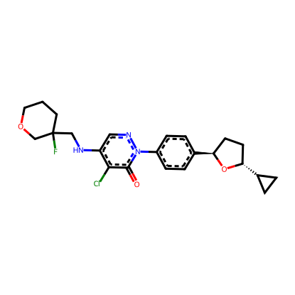 O=c1c(Cl)c(NCC2(F)CCCOC2)cnn1-c1ccc([C@H]2CC[C@H](C3CC3)O2)cc1